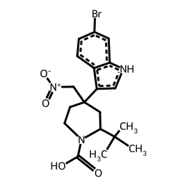 CC(C)(C)C1CC(C[N+](=O)[O-])(c2c[nH]c3cc(Br)ccc23)CCN1C(=O)O